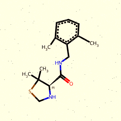 Cc1cccc(C)c1CNC(=O)[C@H]1NCSC1(C)C